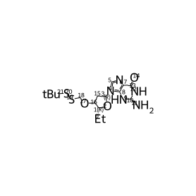 CC[C@H]1O[C@@H](n2cnc3c2NC(N)NC3=O)CC1OCSSC(C)(C)C